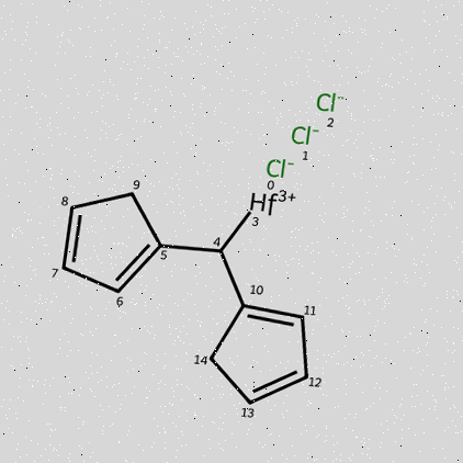 [Cl-].[Cl-].[Cl-].[Hf+3][CH](C1=CC=CC1)C1=CC=CC1